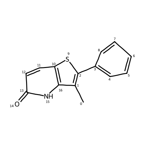 Cc1c(-c2ccccc2)sc2ccc(=O)[nH]c12